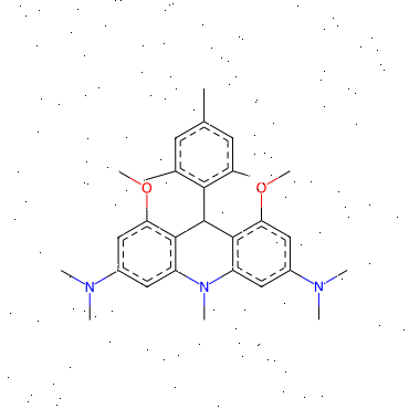 COc1cc(N(C)C)cc2c1C(c1c(C)cc(C)cc1C)c1c(OC)cc(N(C)C)cc1N2C